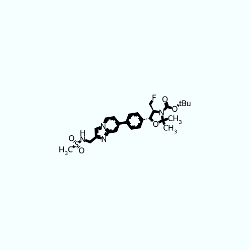 CC(C)(C)OC(=O)N1[C@H](CF)[C@@H](c2ccc(-c3ccn4cc(CNS(C)(=O)=O)nc4c3)cc2)OC1(C)C